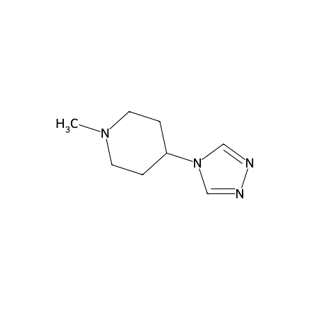 CN1CCC(n2cnnc2)CC1